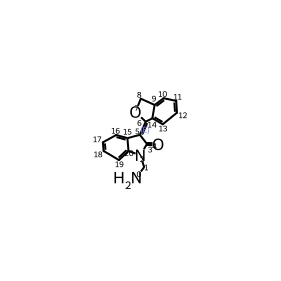 NCN1C(=O)/C(=C2/OCc3ccccc32)c2ccccc21